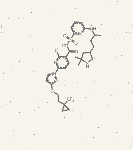 CC(CCC1CNC(C)(C)C1)Nc1cccc(S(=O)(=O)NC(=O)c2ccc(-n3ccc(OCCC4(C(F)(F)F)CC4)n3)nc2Cl)n1